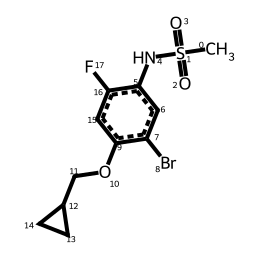 CS(=O)(=O)Nc1cc(Br)c(OCC2CC2)cc1F